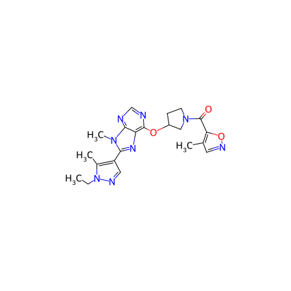 CCn1ncc(-c2nc3c(OC4CCN(C(=O)c5oncc5C)C4)ncnc3n2C)c1C